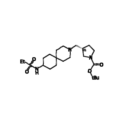 CCS(=O)(=O)NC1CCC2(CC1)CCN(C[C@@H]1CCN(C(=O)OC(C)(C)C)C1)CC2